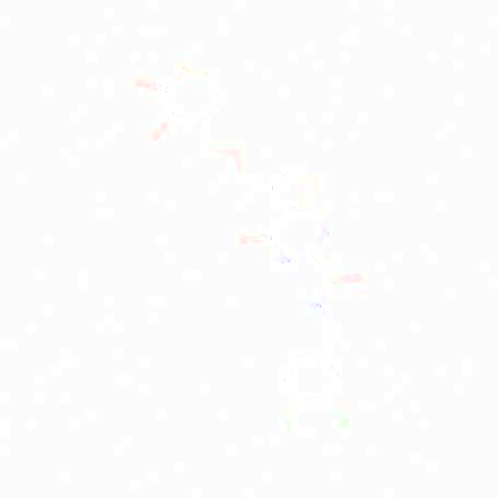 O=C1SCCC(COCc2csc3nc(C(=O)NCc4ccc(F)c(Cl)c4)[nH]c(=O)c23)C1=O